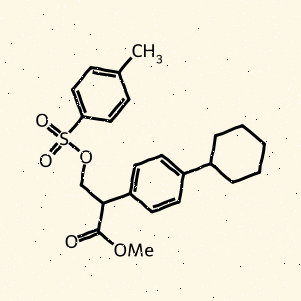 COC(=O)C(COS(=O)(=O)c1ccc(C)cc1)c1ccc(C2CCCCC2)cc1